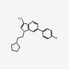 Cc1cn(CCN2CCCC2)c2cc(-c3ccc(F)cc3)cnc12